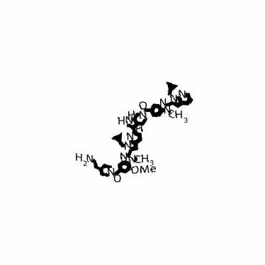 COc1cc(C(=O)N2CCC(CCN)CC2)cc2nc(-c3cc4ccc(C5CN[C@@H]6CN(C(=O)c7ccc8c(c7)nc(-c7cc9cccnc9n7CC7CC7)n8C)CC[C@H]56)nc4n3CC3CC3)n(C)c12